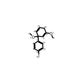 COC1=CC(OC)(c2ccc(I)cc2)C=CC1